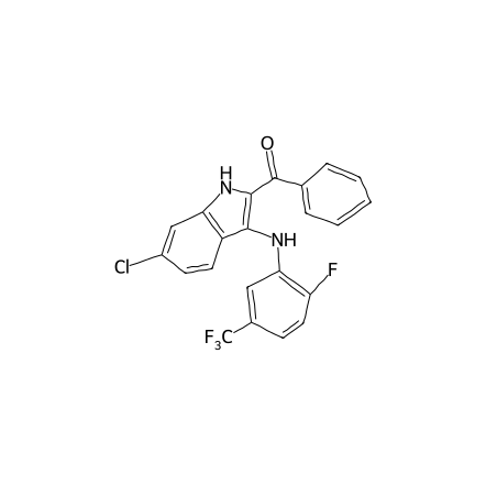 O=C(c1ccccc1)c1[nH]c2cc(Cl)ccc2c1Nc1cc(C(F)(F)F)ccc1F